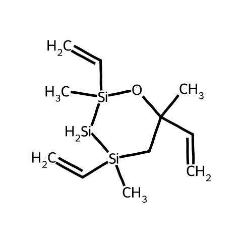 C=CC1(C)C[Si](C)(C=C)[SiH2][Si](C)(C=C)O1